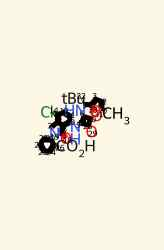 Cc1ccc([C@H](Nc2c(Nc3ccc(Cl)c4c3C(=O)N(c3ccccc3C(=O)O)C4)c(=O)c2=O)C(C)(C)C)o1